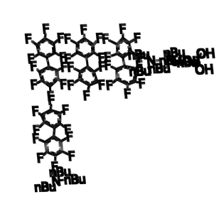 CCCCN(CCCC)CCCC.CCCCN(CCCC)CCCC.CCCCN(CCCC)CCCC.Fc1c(F)c(F)c(-c2c(F)c(F)c(F)c(F)c2F)c(F)c1F.Fc1c(F)c(F)c(-c2c(F)c(F)c(F)c(F)c2F)c(F)c1F.Fc1c(F)c(F)c(-c2c(F)c(F)c(F)c(F)c2F)c(F)c1F.Fc1c(F)c(F)c(-c2c(F)c(F)c(F)c(F)c2F)c(F)c1F.OB(O)O